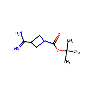 CC(C)(C)OC(=O)N1CC(C(=N)N)C1